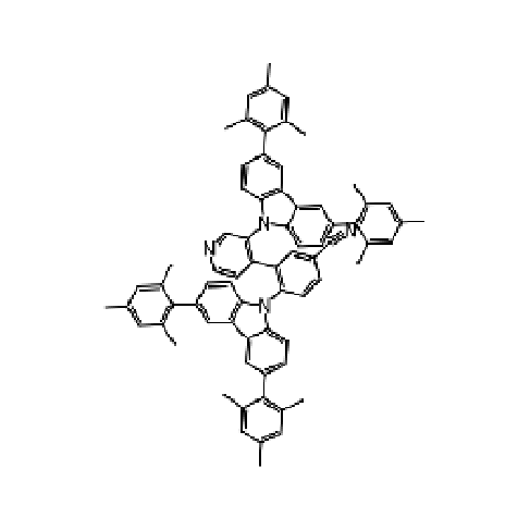 Cc1cc(C)c(-c2ccc3c(c2)c2cc(-c4c(C)cc(C)cc4C)ccc2n3-c2ccc(C#N)cc2-c2ccncc2-n2c3ccc(-c4c(C)cc(C)cc4C)cc3c3cc(-c4c(C)cc(C)cc4C)ccc32)c(C)c1